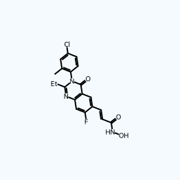 CCc1nc2cc(F)c(/C=C/C(=O)NO)cc2c(=O)n1-c1ccc(Cl)cc1C